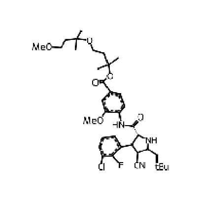 COCCC(C)(C)OCCC(C)(C)OC(=O)c1ccc(NC(=O)[C@@H]2NC(CC(C)(C)C)C(C#N)C2c2cccc(Cl)c2F)c(OC)c1